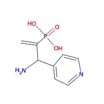 C=C(C(N)c1ccncc1)P(=O)(O)O